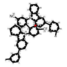 Cc1cccc(-c2ccc3c(c2)c2ccccc2n3-c2ccc(C(F)(F)F)cc2-c2ccc(C#N)cc2-n2c3ccccc3c3cc(-c4cccc(C)c4)ccc32)c1